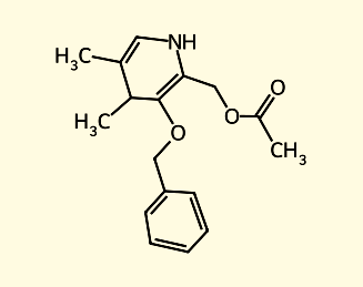 CC(=O)OCC1=C(OCc2ccccc2)C(C)C(C)=CN1